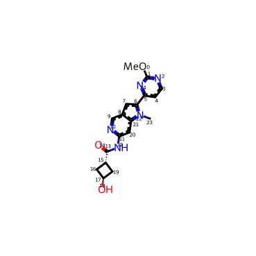 COc1nccc(-c2cc3cnc(NC(=O)[C@H]4C[C@H](O)C4)cc3n2C)n1